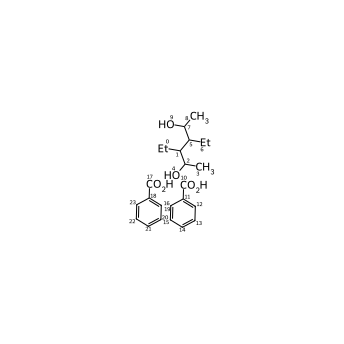 CCC(C(C)O)C(CC)C(C)O.O=C(O)c1ccccc1.O=C(O)c1ccccc1